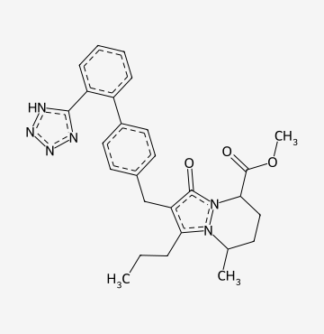 CCCc1c(Cc2ccc(-c3ccccc3-c3nnn[nH]3)cc2)c(=O)n2n1C(C)CCC2C(=O)OC